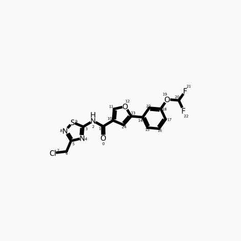 O=C(Nc1nc(CCl)ns1)c1coc(-c2cccc(OC(F)F)c2)c1